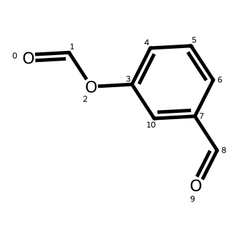 O=COc1cccc(C=O)c1